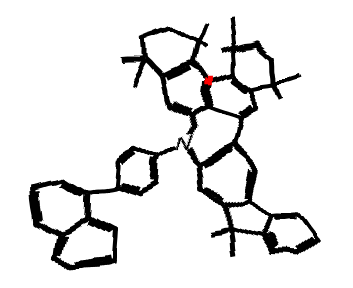 CC1(C)CCC(C)(C)c2cc(-c3cc4c(cc3N(c3ccc(-c5cccc6ccccc56)cc3)c3ccc5c(c3)C(C)(C)CCC5(C)C)C(C)(C)c3ccccc3-4)ccc21